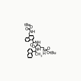 C[C@H](NC(=O)[C@H](CCCNC(=O)OC(C)(C)C)NC(=O)c1ccc(CNC(=O)OC(C)(C)C)c2ccccc12)c1cccc2ccccc12